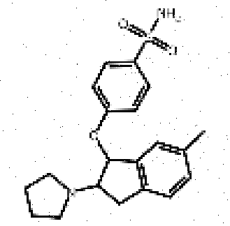 Cc1ccc2c(c1)C(Oc1ccc(S(N)(=O)=O)cc1)C(N1CCCC1)C2